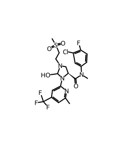 Cc1cc(C(F)(F)F)cc(N2C(O)N(CCS(C)(=O)=O)C[C@H]2C(=O)N(C)c2ccc(F)c(Cl)c2)n1